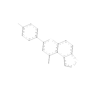 Cc1cc(-c2ccc(C(=O)O)cc2)nc2ccc3[nH]ncc3c12